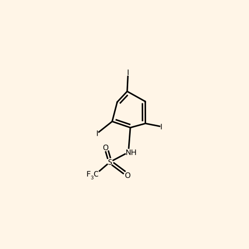 O=S(=O)(Nc1c(I)cc(I)cc1I)C(F)(F)F